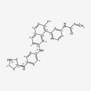 C=CC(=O)Nc1ccnc(-c2c(F)ccc3cnc(Nc4ccc(N[C@H]5CCNC5)cc4)nc23)c1